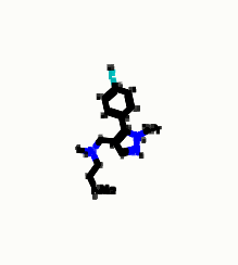 CNCCN(C)Cc1cnn(C(C)C)c1-c1ccc(F)cc1